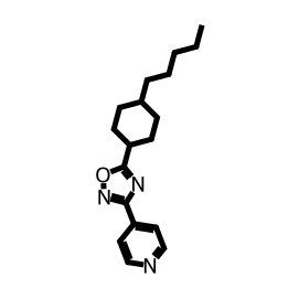 CCCCCC1CCC(c2nc(-c3ccncc3)no2)CC1